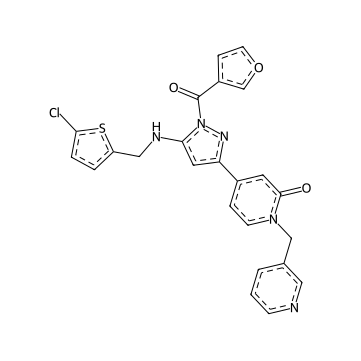 O=C(c1ccoc1)n1nc(-c2ccn(Cc3cccnc3)c(=O)c2)cc1NCc1ccc(Cl)s1